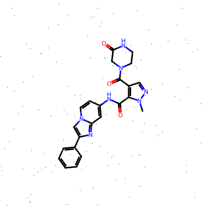 Cn1ncc(C(=O)N2CCNC(=O)C2)c1C(=O)Nc1ccn2cc(-c3ccccc3)nc2c1